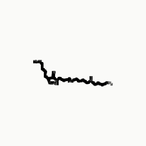 CNCCCCC(NC)C(=O)NCCCNCCCCNCCCN